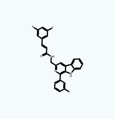 O=C(/C=C/c1cc(F)cc(F)c1)NCc1cc2c([nH]c3ccccc32)c(-c2cccc(F)c2)n1